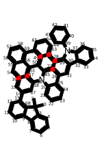 CC1(C)c2ccccc2-c2cccc(-c3cccc(N(c4ccccc4-c4ccc5c(c4)c4ccccc4n5-c4ccccc4)c4ccccc4-c4cccc5cccc(-c6ccccc6)c45)c3)c21